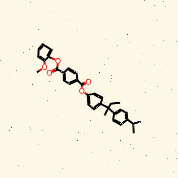 CCC(C)(c1ccc(OC(=O)c2ccc(C(=O)Oc3ccccc3OC)cc2)cc1)c1ccc(C(C)C)cc1